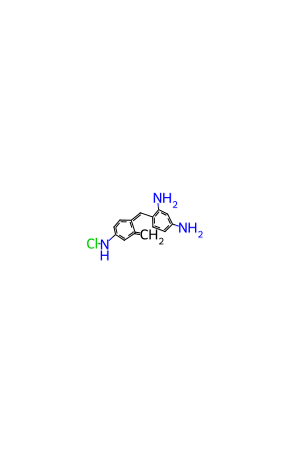 C=c1cc(NCl)cc/c1=C/c1ccc(N)cc1N